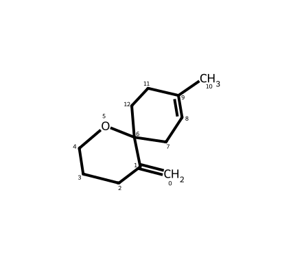 C=C1CCCOC12CC=C(C)CC2